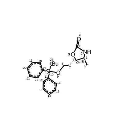 C[C@@H]1NC(=O)O[C@H]1CCO[Si](c1ccccc1)(c1ccccc1)C(C)(C)C